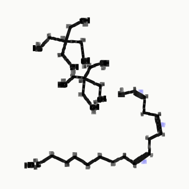 CC/C=C\C/C=C\C/C=C\CCCCCCCC(=O)O.OCC(CO)(CO)CO.OCC(CO)(CO)CO